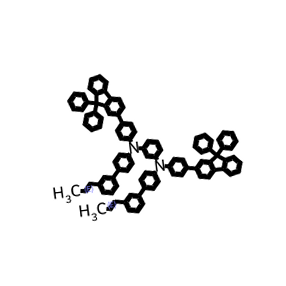 C/C=C/c1cccc(-c2ccc(N(c3ccc(-c4ccc5c(c4)C(c4ccccc4)(c4ccccc4)c4ccccc4-5)cc3)c3cccc(N(c4ccc(-c5cccc(/C=C/C)c5)cc4)c4ccc(-c5ccc6c(c5)C(c5ccccc5)(c5ccccc5)c5ccccc5-6)cc4)c3)cc2)c1